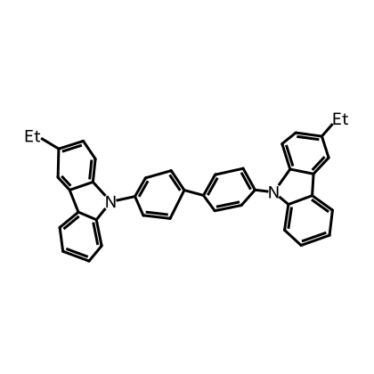 CCc1ccc2c(c1)c1ccccc1n2-c1ccc(-c2ccc(-n3c4ccccc4c4cc(CC)ccc43)cc2)cc1